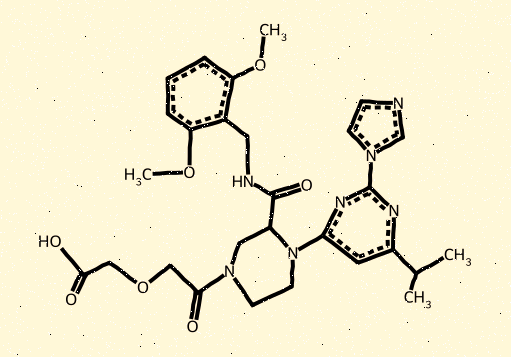 COc1cccc(OC)c1CNC(=O)C1CN(C(=O)COCC(=O)O)CCN1c1cc(C(C)C)nc(-n2ccnc2)n1